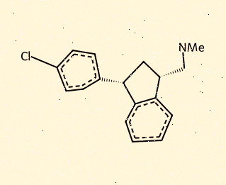 CNC[C@H]1C[C@@H](c2ccc(Cl)cc2)c2ccccc21